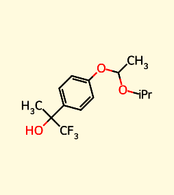 CC(C)OC(C)Oc1ccc(C(C)(O)C(F)(F)F)cc1